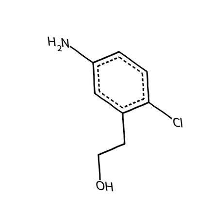 Nc1ccc(Cl)c(CCO)c1